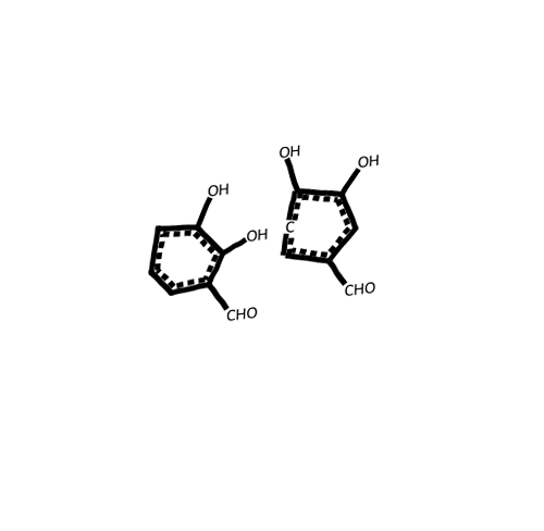 O=Cc1ccc(O)c(O)c1.O=Cc1cccc(O)c1O